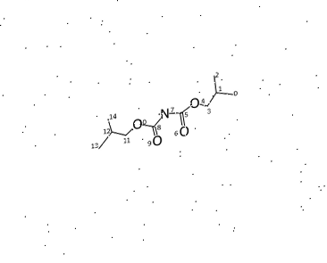 CC(C)COC(=O)[N]C(=O)OCC(C)C